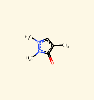 Cc1cn(C)n(C)c1=O